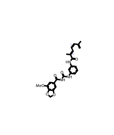 C=C(C)/C=C\C=C(/C)C(=O)Nc1cccc(NC(=O)NC(=O)c2cc(OC)c3c(c2)OCO3)c1